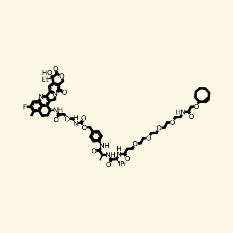 CC[C@@]1(O)C(=O)OCc2c1cc1n(c2=O)Cc2c-1nc1cc(F)c(C)c3c1c2[C@@H](NC(=O)COCNC(=O)OCc1ccc(NC(=O)[C@H](C)NC(=O)[C@@H](NC(=O)CCOCCOCCOCCOCCNC(=O)COC2C#CCCCCC2)C(C)C)cc1)CC3